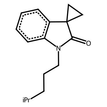 CC(C)CCCN1C(=O)C2(CC2)c2ccccc21